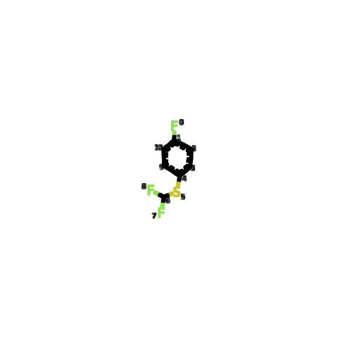 Fc1ccc(SC(F)F)cc1